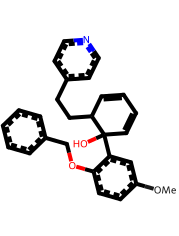 COc1ccc(OCc2ccccc2)c(C2(O)C=CC=CC2CCc2ccncc2)c1